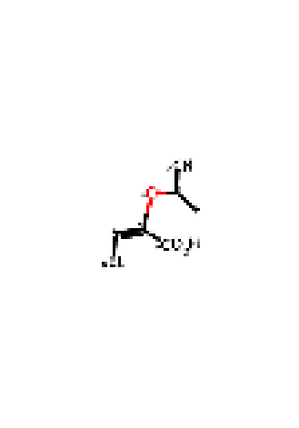 CC/C=C(/OC(C)C#N)C(=O)O